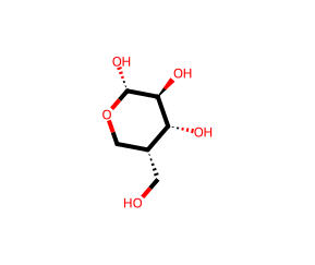 OC[C@@H]1CO[C@H](O)[C@@H](O)[C@@H]1O